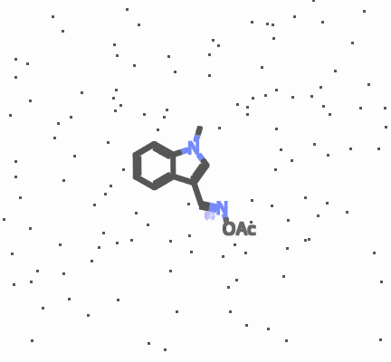 CC(=O)O/N=C/c1cn(C)c2ccccc12